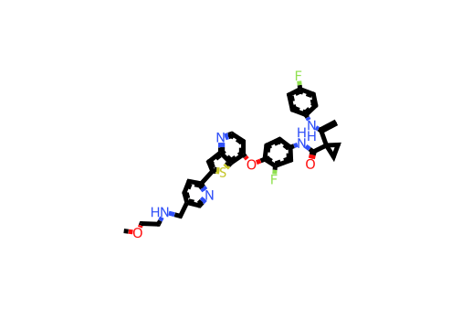 C=C(Nc1ccc(F)cc1)C1(C(=O)Nc2ccc(Oc3ccnc4cc(-c5ccc(CNCCOC)cn5)sc34)c(F)c2)CC1